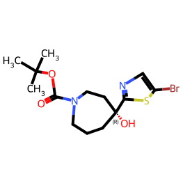 CC(C)(C)OC(=O)N1CCC[C@](O)(c2ncc(Br)s2)CC1